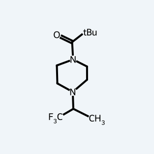 CC(N1CCN(C(=O)C(C)(C)C)CC1)C(F)(F)F